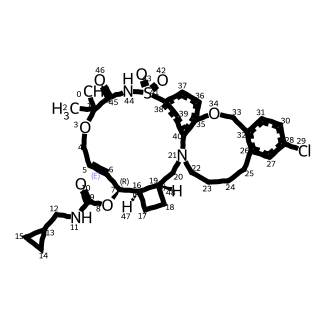 CC1(C)OC/C=C/[C@H](OC(=O)NCC2CC2)[C@@H]2CC[C@H]2CN2CCCCc3cc(Cl)ccc3COc3ccc(cc32)S(=O)(=O)NC1=O